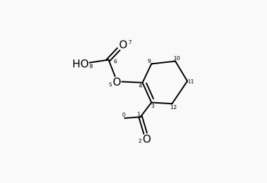 CC(=O)C1=C(OC(=O)O)CCCC1